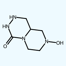 O=C1NNCC2CN(O)CCN12